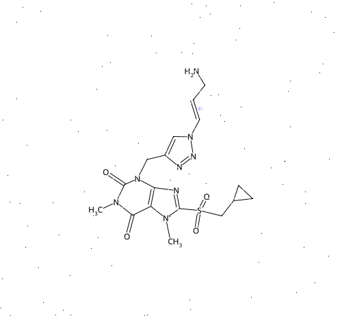 Cn1c(=O)c2c(nc(S(=O)(=O)CC3CC3)n2C)n(Cc2cn(/C=C/CN)nn2)c1=O